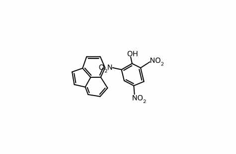 C1=Cc2cccc3cccc1c23.O=[N+]([O-])c1cc([N+](=O)[O-])c(O)c([N+](=O)[O-])c1